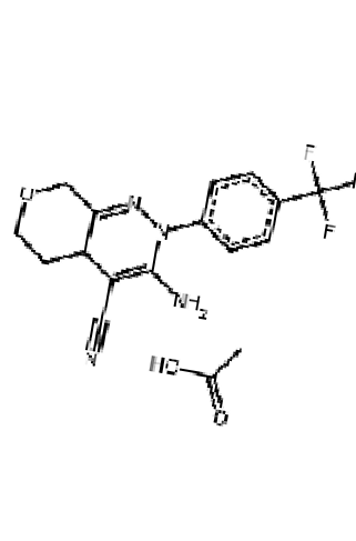 CC(=O)O.N#CC1=C(N)N(c2ccc(C(F)(F)F)cc2)N=C2COCCC21